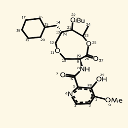 COc1ccnc(C(=O)N[C@H]2COC[C@H](CC3CCCCC3)C(OCC(C)C)C(C)OC2=O)c1O